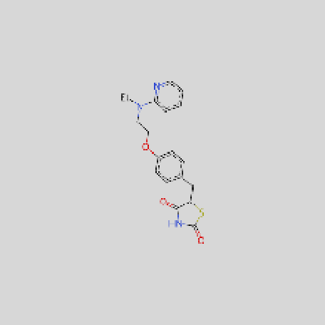 CCN(CCOc1ccc(CC2SC(=O)NC2=O)cc1)c1ccccn1